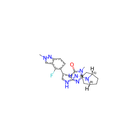 Cn1cc2c(F)c(-c3c[nH]c4nc(N5[C@@H]6CC[C@H]5C[C@@H](N)C6)n(C)c(=O)c34)ccc2n1